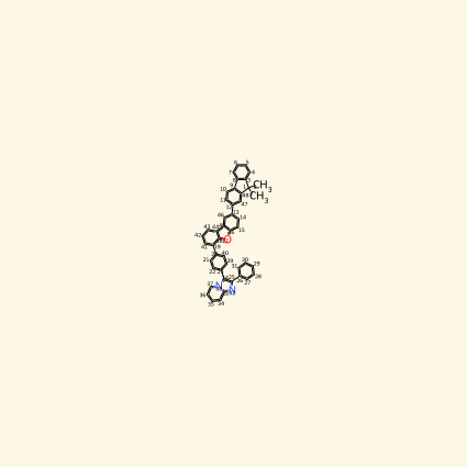 CC1(C)c2ccccc2-c2ccc(-c3ccc4oc5c(-c6ccc(-c7c(-c8ccccc8)nc8ccccn78)cc6)cccc5c4c3)cc21